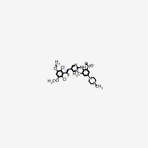 COc1cc(OC)c(Cl)c(/C(F)=C/c2cnc(Nc3c(C)cc(N4CCN(C)CC4)cc3[N+](=O)[O-])nc2)c1Cl